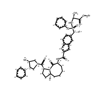 CCCOC(=O)[C@H](C)NP(=O)(Oc1ccccc1)[C@H](F)c1ccc2sc(C(=O)N[C@H]3CCCC[C@H]4CC[C@@H](C(=O)N5C[C@H](c6ccccc6)[C@@H](C#N)C5)N4C3=O)cc2c1